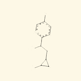 CC(CC1CC1C)c1ccc(N)cn1